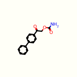 NC(=O)OCC(=O)c1ccc(-c2ccccc2)cc1